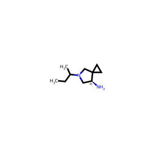 CCC(C)N1C[C@H](N)C2(CC2)C1